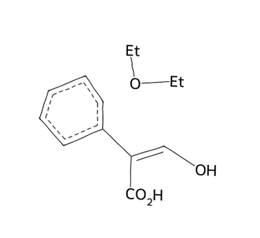 CCOCC.O=C(O)C(=CO)c1ccccc1